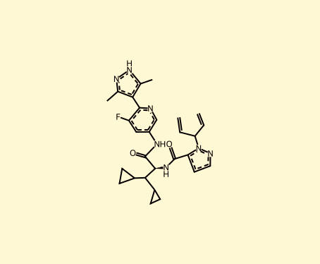 C=CC(C=C)n1nccc1C(=O)N[C@H](C(=O)Nc1cnc(-c2c(C)n[nH]c2C)c(F)c1)C(C1CC1)C1CC1